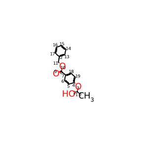 CC(O)Oc1ccc(C(=O)OCc2ccccc2)cc1